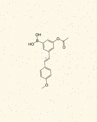 COc1ccc(/C=C/c2cc(OC(C)=O)cc(B(O)O)c2)cc1